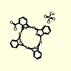 O=C(Cl)c1cccc2c3nc4nc(nc5[nH]c(nc6nc(nc([nH]3)c12)-c1ccccc1-6)c1ccccc51)-c1ccccc1-4.O=[S](=O)(Cl)[Cu]